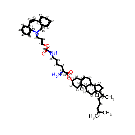 CC(C)CCCC(C)C1CCC2C3CC=C4CC(OC(=O)C(N)CCCCNC(=O)OCCCN5Cc6ccccc6C#Cc6ccccc65)CCC4(C)C3CCC12C